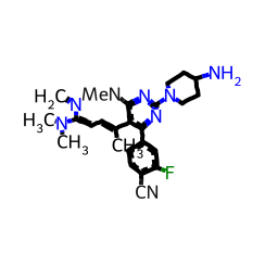 C=N/C(=C\C=C(/C)c1c(NC)nc(N2CCC(N)CC2)nc1-c1ccc(C#N)c(F)c1)N(C)C